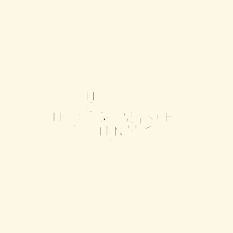 Cc1ccc(OC(=O)C(N)CSSCC(C)C(=O)O)cc1